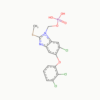 CSc1nc2cc(Oc3cccc(Cl)c3Cl)c(Cl)cc2n1COP(=O)(O)O